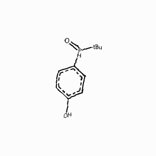 CC(C)(C)[PH](=O)c1ccc(O)cc1